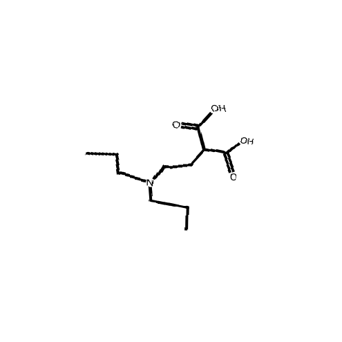 CCCN(CCC)CCC(C(=O)O)C(=O)O